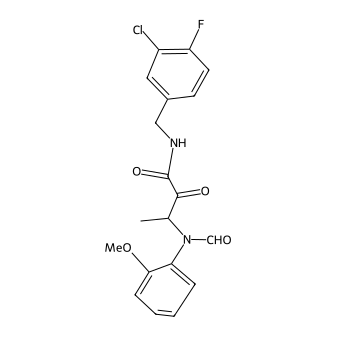 COc1ccccc1N(C=O)C(C)C(=O)C(=O)NCc1ccc(F)c(Cl)c1